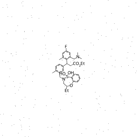 CCOC(=O)CC(c1ccc(C)c(CN2CC(CC)Oc3ccccc3S2(O)O)c1)c1c(C)cc(F)cc1CN(C)C